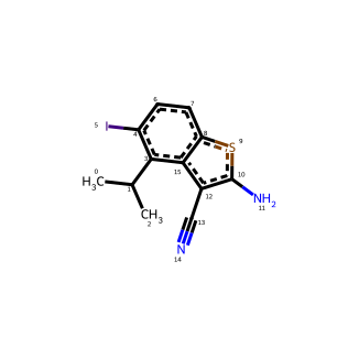 CC(C)c1c(I)ccc2sc(N)c(C#N)c12